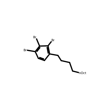 CCCCCCCCCCCCc1ccc(Br)c(Br)c1Br